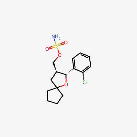 NS(=O)(=O)OC[C@@H]1CC2(CCCC2)O[C@H]1c1ccccc1Cl